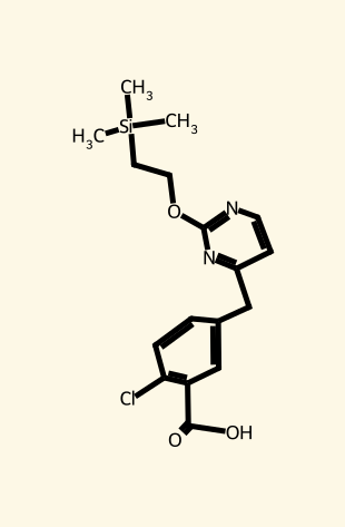 C[Si](C)(C)CCOc1nccc(Cc2ccc(Cl)c(C(=O)O)c2)n1